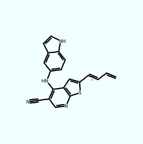 C=C/C=C/c1cc2c(Nc3ccc4[nH]ccc4c3)c(C#N)cnc2s1